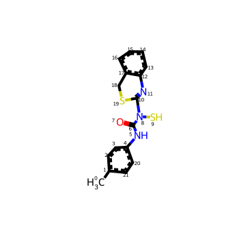 Cc1ccc(NC(=O)N(S)C2=Nc3ccccc3CS2)cc1